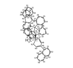 CC1(N(c2ccccc2)c2ccccc2C2(c3ccccc3)c3ccccc3C3(c4ccccc4)c4ccccc4-c4cccc2c43)C=CC(c2cccc3ccccc23)=CC1